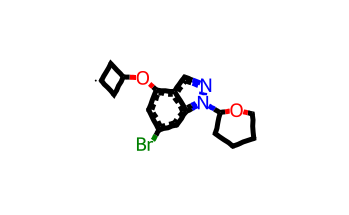 Brc1cc(OC2C[CH]C2)c2cnn(C3CCCCO3)c2c1